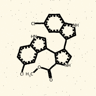 COC(=O)c1[nH]cc(-c2c[nH]c3ccc(Cl)cc23)c1-c1c[nH]c2ccc(Cl)cc12